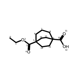 CCOC(=O)C12CCCC(C(=O)O)(CC1)CC2